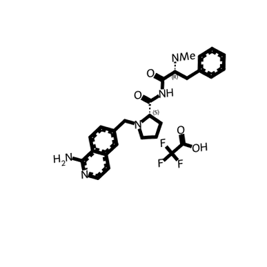 CN[C@H](Cc1ccccc1)C(=O)NC(=O)[C@@H]1CCCN1Cc1ccc2c(N)nccc2c1.O=C(O)C(F)(F)F